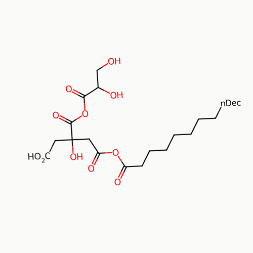 CCCCCCCCCCCCCCCCCC(=O)OC(=O)CC(O)(CC(=O)O)C(=O)OC(=O)C(O)CO